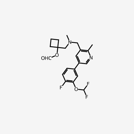 Cc1ncc(-c2ccc(F)c(OC(F)F)c2)cc1CN(C)CC1(OC=O)CCC1